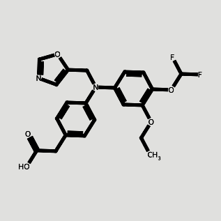 CCOc1cc(N(Cc2cnco2)c2ccc(CC(=O)O)cc2)ccc1OC(F)F